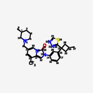 C[C@H]1CCCN(Cc2cc(C(F)(F)F)c3cn(-c4cccc([C@]5(c6nncs6)C[C@H](C)C5)c4)c(=O)n3c2)C1